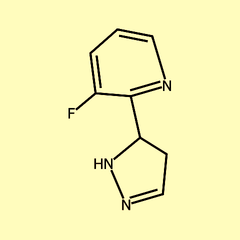 Fc1cccnc1C1CC=NN1